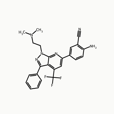 CN(C)CCn1nc(-c2ccccc2)c2c(C(F)(F)F)cc(-c3ccc(N)c(C#N)c3)nc21